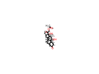 CC[C@@H]1C[C@H]2[C@@H]3CCC4=CC(=O)C=C[C@]4(C)[C@H]3[C@@H](O)C[C@]2(C)[C@@]1(O)C(=O)COC(C)=O